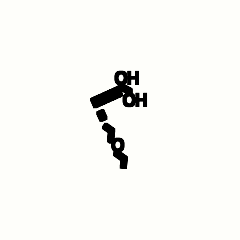 C=C.C=C.C=C.C=C.C=C.C=C.CCCOCCC.OCCO